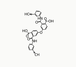 C#Cc1cccc(NC(=O)c2cc(Oc3ccc(C(=O)O)c(C(=O)Nc4cccc(C#C)c4)c3)ccc2C(=O)O)c1